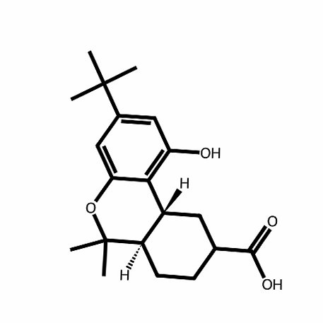 CC(C)(C)c1cc(O)c2c(c1)OC(C)(C)[C@@H]1CCC(C(=O)O)C[C@@H]21